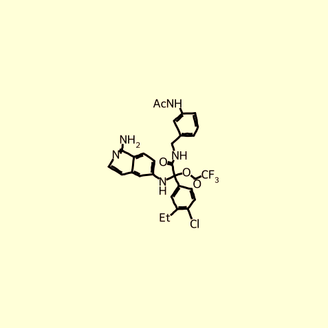 CCc1cc(C(Nc2ccc3c(N)nccc3c2)(OC(=O)C(F)(F)F)C(=O)NCc2cccc(NC(C)=O)c2)ccc1Cl